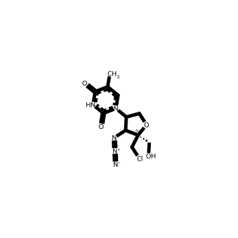 Cc1cn(C2CO[C@@](CO)(CCl)C2N=[N+]=[N-])c(=O)[nH]c1=O